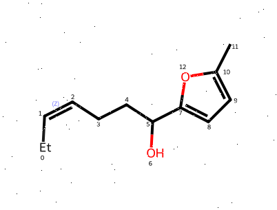 CC/C=C\CCC(O)c1ccc(C)o1